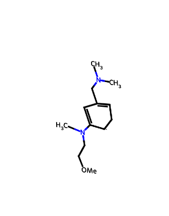 COCCN(C)C1=CC(CN(C)C)=CC[CH]1